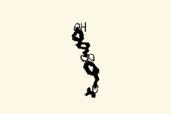 C=C(C)C(=C)OCCc1ccc(OC(=O)/C=C/c2ccc(-c3ccc(O)cc3)cc2)cc1